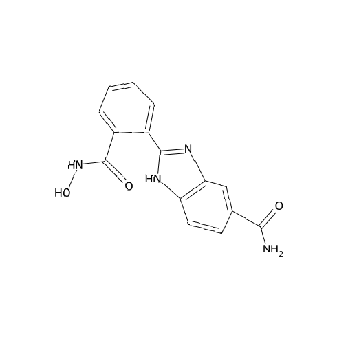 NC(=O)c1ccc2[nH]c(-c3ccccc3C(=O)NO)nc2c1